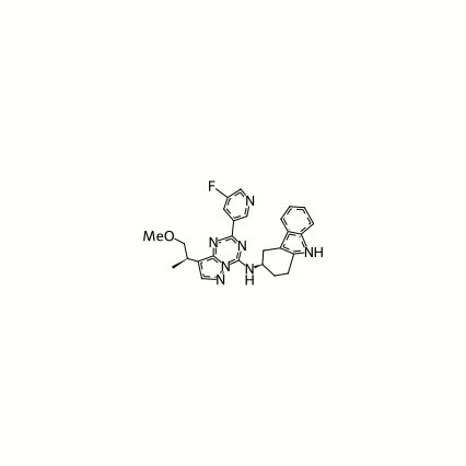 COC[C@H](C)c1cnn2c(N[C@@H]3CCc4[nH]c5ccccc5c4C3)nc(-c3cncc(F)c3)nc12